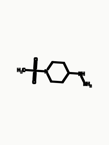 CS(=O)(=O)N1CCC(NN)CC1